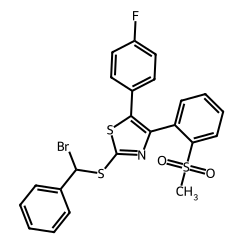 CS(=O)(=O)c1ccccc1-c1nc(SC(Br)c2ccccc2)sc1-c1ccc(F)cc1